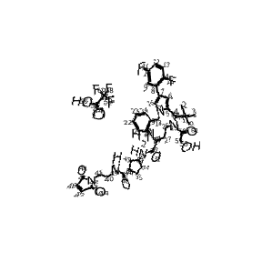 CC(C)(C)[C@H](c1cc(-c2cc(F)ccc2F)cn1Cc1ccccc1)N(CC[C@H](N)C(=O)N[C@H]1CC[C@H](C(=O)NCCN2C(=O)C=CC2=O)C1)C(=O)CO.O=C(O)C(F)(F)F